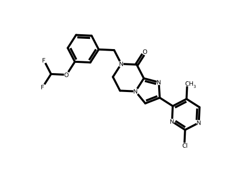 Cc1cnc(Cl)nc1-c1cn2c(n1)C(=O)N(Cc1cccc(OC(F)F)c1)CC2